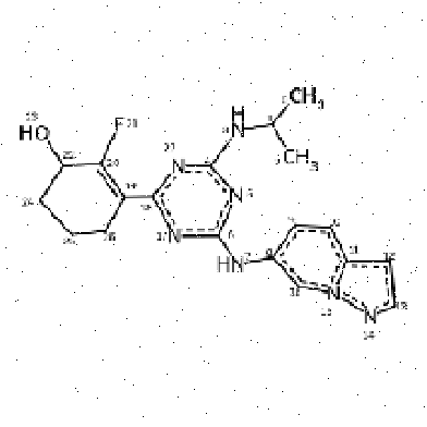 CC(C)Nc1nc(Nc2ccc3ccnn3c2)nc(C2=C(F)C(O)CCC2)n1